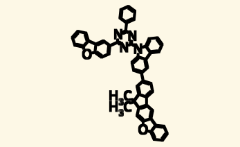 CC1(C)c2cc(-c3ccc4c(c3)c3ccccc3n4-c3nc(-c4ccccc4)nc(-c4ccc5oc6ccccc6c5c4)n3)ccc2-c2cc3c(cc21)oc1ccccc13